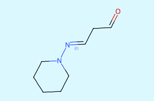 O=CC/C=N/N1CCCCC1